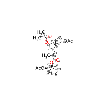 C=C(C)C(=O)OC1CC(/C=C(\C)C(=O)OC23CC4CC(CC(OC(C)=O)(C4)C2)C3)C2C3CC(CC3OC(C)=O)C12